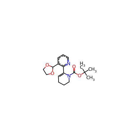 CC(C)(C)OC(=O)N1CCCC=C1c1ncccc1C1OCCO1